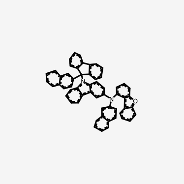 c1ccc2c(c1)-c1ccccc1C2(c1ccc2ccccc2c1)n1c2ccccc2c2cc(N(c3ccc4ccccc4c3)c3cccc4oc5ccccc5c34)ccc21